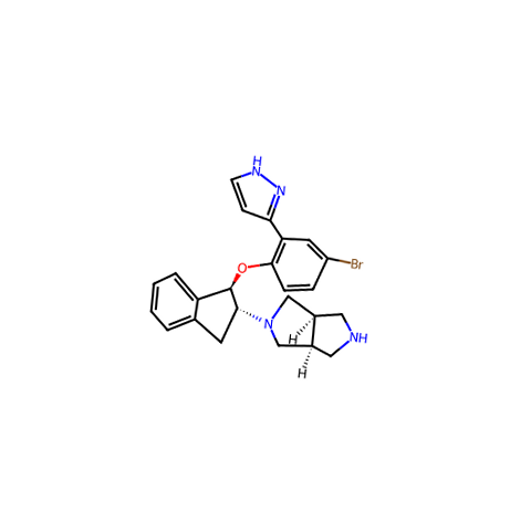 Brc1ccc(O[C@@H]2c3ccccc3C[C@H]2N2C[C@H]3CNC[C@H]3C2)c(-c2cc[nH]n2)c1